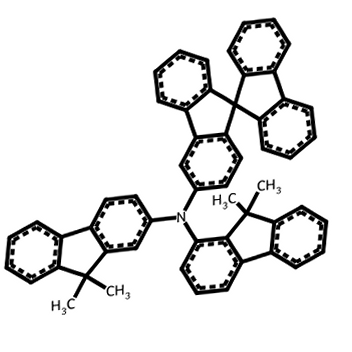 CC1(C)c2ccccc2-c2ccc(N(c3ccc4c(c3)-c3ccccc3C43c4ccccc4-c4ccccc43)c3cccc4c3C(C)(C)c3ccccc3-4)cc21